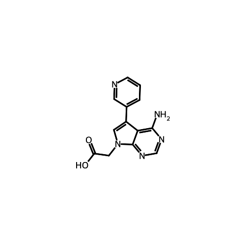 Nc1ncnc2c1c(-c1cccnc1)cn2CC(=O)O